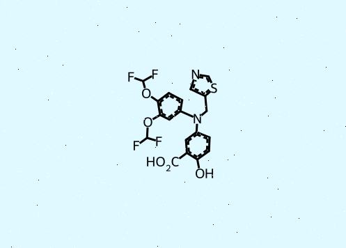 O=C(O)c1cc(N(Cc2cncs2)c2ccc(OC(F)F)c(OC(F)F)c2)ccc1O